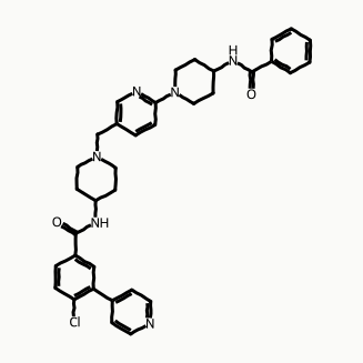 O=C(NC1CCN(Cc2ccc(N3CCC(NC(=O)c4ccccc4)CC3)nc2)CC1)c1ccc(Cl)c(-c2ccncc2)c1